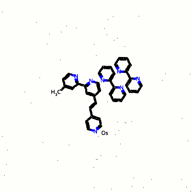 Cc1ccnc(-c2cc(C=Cc3ccncc3)ccn2)c1.[Os].c1ccc(-c2ccccn2)nc1.c1ccc(-c2ccccn2)nc1